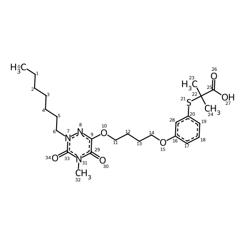 CCCCCCCn1nc(OCCCCOc2cccc(SC(C)(C)C(=O)O)c2)c(=O)n(C)c1=O